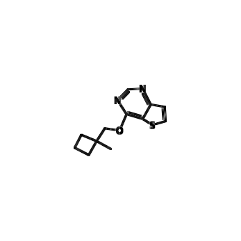 CC1(COc2ncnc3ccsc23)CCC1